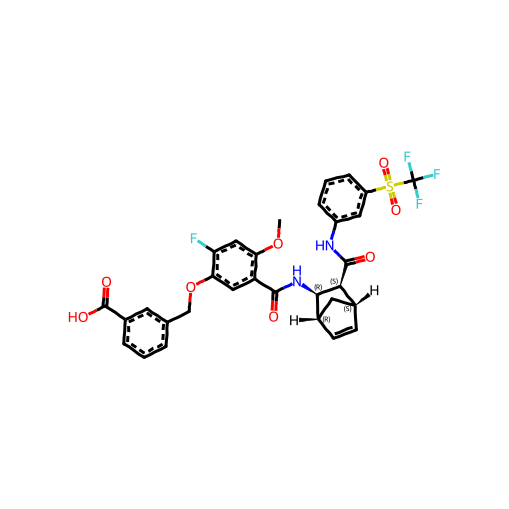 COc1cc(F)c(OCc2cccc(C(=O)O)c2)cc1C(=O)N[C@H]1[C@@H](C(=O)Nc2cccc(S(=O)(=O)C(F)(F)F)c2)[C@@H]2C=C[C@H]1C2